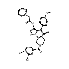 COc1ccc(-n2c(=O)c3c(n4ncc(NC(=O)Cc5ccccc5)c24)CN(C(=O)c2ccc(Cl)c(Cl)c2)CC3)cc1